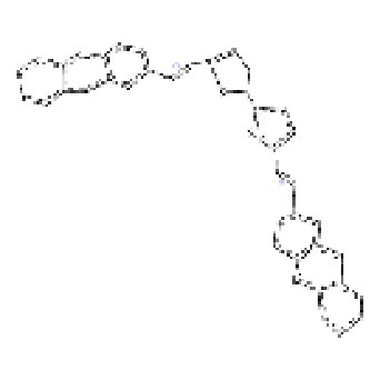 C1=C(/C=C/c2ccc3cc4ccccc4cc3c2)SC(c2ccc(/C=C/c3ccc4cc5ccccc5cc4c3)s2)C1